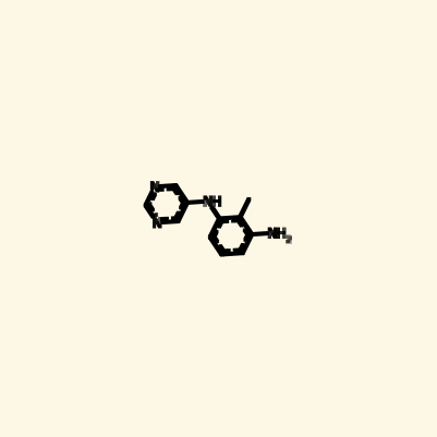 Cc1c(N)cccc1Nc1cncnc1